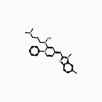 CCCN(CCCN(C)C)C1=C/C(=C/c2sc3ccc(C)cc3[n+]2C)C=CN1c1ccccc1